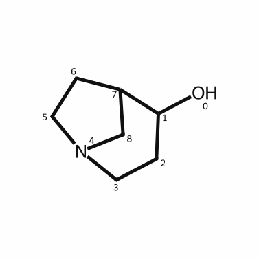 OC1CCN2CCC1C2